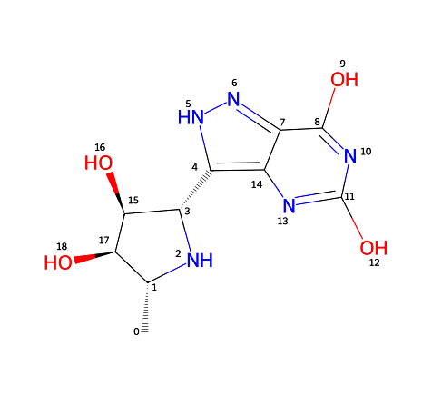 C[C@H]1N[C@@H](c2[nH]nc3c(O)nc(O)nc23)[C@H](O)[C@@H]1O